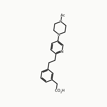 CC(=O)N1CCN(c2ccc(CCc3cccc(CC(=O)O)c3)nc2)CC1